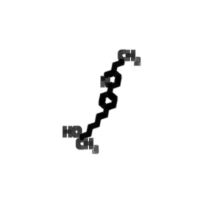 C=CCc1ccc(-c2ccc(C=CCCCC(C)O)cc2)nc1